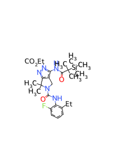 CCOC(=O)n1nc2c(c1NC(=O)C(C)(C)[Si](C)(C)C)CN(C(=O)Nc1c(F)cccc1CC)C2(C)C